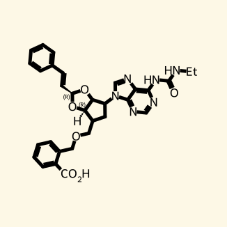 CCNC(=O)Nc1ncnc2c1ncn2C1CC(COCc2ccccc2C(=O)O)[C@H]2O[C@@H](C=Cc3ccccc3)OC12